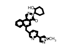 Cn1cc(-c2ccc(Cc3cc4c(=O)n(C5CCCCC5O)ncc4c4ccccc34)cn2)cn1